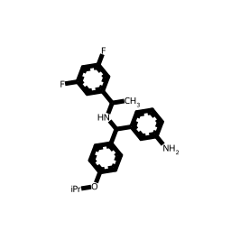 CC(C)Oc1ccc(C(NC(C)c2cc(F)cc(F)c2)c2cccc(N)c2)cc1